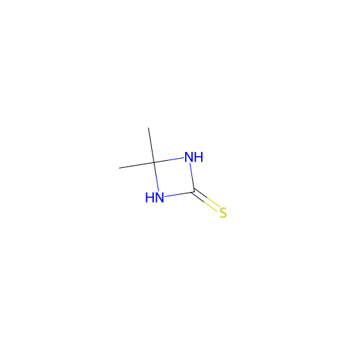 CC1(C)NC(=S)N1